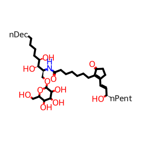 CCCCCCCCCCCCCC[C@@H](O)[C@@H](O)[C@H](COC1OC(CO)C(O)C(O)C1O)NC(=O)CCCCCCC1=C(/C=C/[C@@H](O)CCCCC)CCC1=O